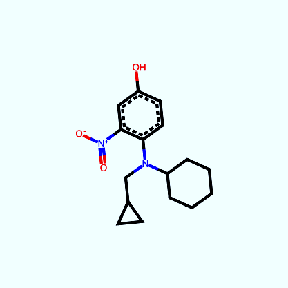 O=[N+]([O-])c1cc(O)ccc1N(CC1CC1)C1CCCCC1